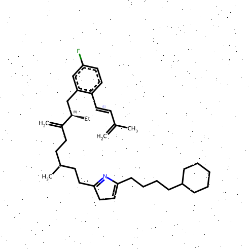 C=C(C)/C=C/c1ccc(F)cc1C[C@@H](CC)C(=C)CCC(C)CCC1=NC(CCCCC2CCCCC2)=CC1